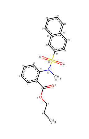 CCCOC(=O)c1ccccc1N(C)S(=O)(=O)c1ccc2ccccc2c1